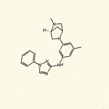 Cc1cc(Nc2ncn(-c3ccccc3)n2)cc(N2C[C@@H]3CC2CN3C)c1